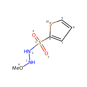 CONNS(=O)(=O)c1cccs1